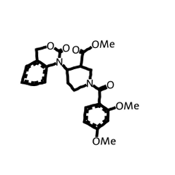 COC(=O)C1CN(C(=O)c2ccc(OC)cc2OC)CCC1N1C(=O)OCc2ccccc21